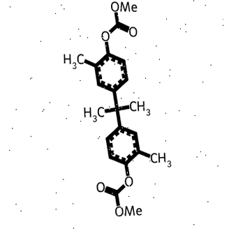 COC(=O)Oc1ccc(C(C)(C)c2ccc(OC(=O)OC)c(C)c2)cc1C